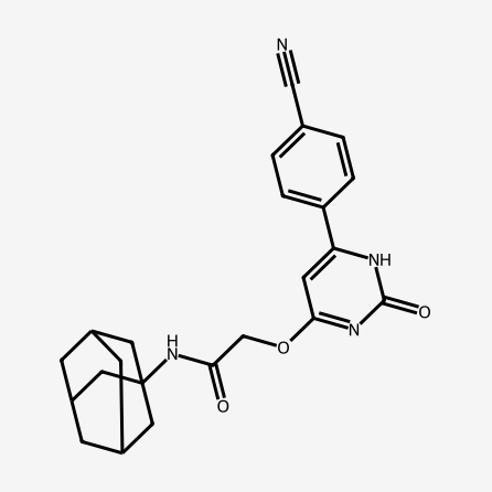 N#Cc1ccc(-c2cc(OCC(=O)NC34CC5CC(CC(C5)C3)C4)nc(=O)[nH]2)cc1